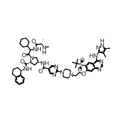 CN[C@@H](C)C(=O)NC(C(=O)N1C[C@@H](NC(=O)c2cnc(N3CCN(CCOc4cc5ncnc(Nc6n[nH]c(C)c6C)c5cc4S(=O)(=O)C(C)(C)C)CC3)nc2)C[C@H]1C(=O)N[C@@H]1CCCc2ccccc21)C1CCCCC1